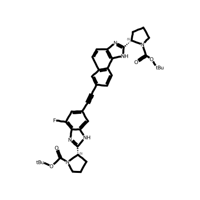 CC(C)(C)OC(=O)N1CCC[C@H]1c1nc2c(F)cc(C#Cc3ccc4c(ccc5nc([C@@H]6CCCN6C(=O)OC(C)(C)C)[nH]c54)c3)cc2[nH]1